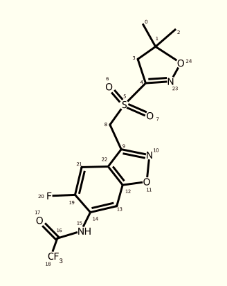 CC1(C)CC(S(=O)(=O)Cc2noc3cc(NC(=O)C(F)(F)F)c(F)cc23)=NO1